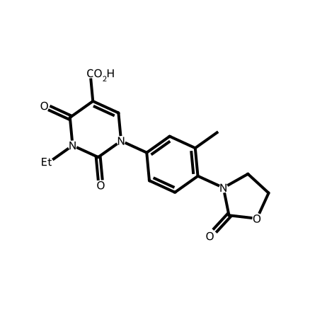 CCn1c(=O)c(C(=O)O)cn(-c2ccc(N3CCOC3=O)c(C)c2)c1=O